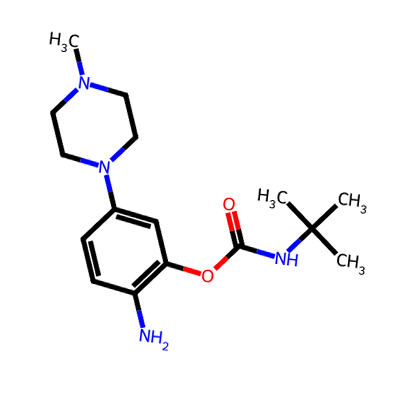 CN1CCN(c2ccc(N)c(OC(=O)NC(C)(C)C)c2)CC1